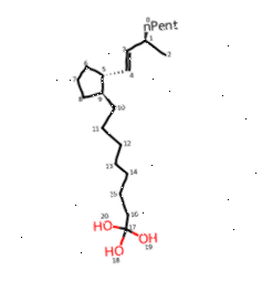 CCCCC[C@@H](C)C=C[C@H]1CCC[C@@H]1CCCCCCCC(O)(O)O